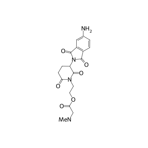 CNCC(=O)OCCN1C(=O)CCC(N2C(=O)c3ccc(N)cc3C2=O)C1=O